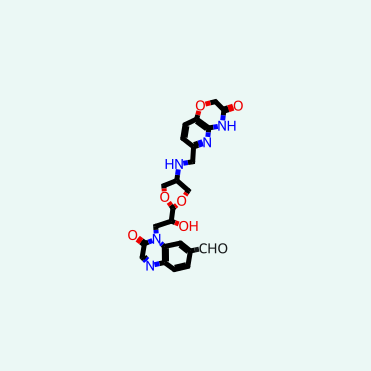 O=Cc1ccc2ncc(=O)n(CC(O)C3OCC(NCc4ccc5c(n4)NC(=O)CO5)CO3)c2c1